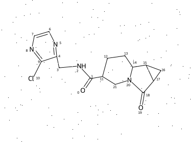 O=C(NCc1nccnc1Cl)C1CCC2C3CC3C(=O)N2C1